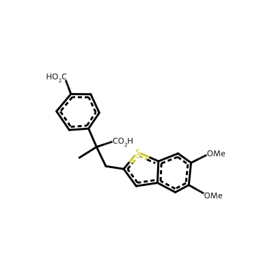 COc1cc2cc(CC(C)(C(=O)O)c3ccc(C(=O)O)cc3)sc2cc1OC